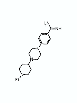 CCN1CCC(N2CCN(c3ccc(C(=N)N)cc3)CC2)CC1